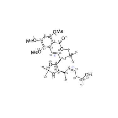 COc1cc(OC)c(C(=O)OC[Si](C)(C)C)c(/C=C/C[C@@H]2OC(C)(C)O[C@@H]2C(C)/C=C\C[C@@H](C)O)c1OC